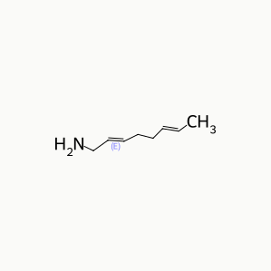 CC=CCC/C=C/CN